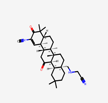 [C-]#[N+]C1=C[C@]2(C)[C@H]3CC(=O)[C@@H]4[C@@H]5CC(C)(C)CC[C@]5(CNCC#N)CC[C@@]4(C)[C@]3(C)CC[C@H]2C(C)(C)C1=O